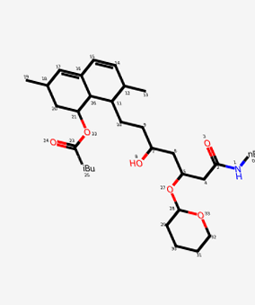 CCCCNC(=O)CC(CC(O)CCC1C(C)C=CC2=CC(C)CC(OC(=O)C(C)CC)C21)OC1CCCCO1